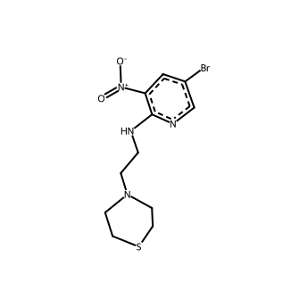 O=[N+]([O-])c1cc(Br)cnc1NCCN1CCSCC1